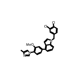 COc1cc(-c2cccc3c2ccn3Cc2ccc(Cl)c(Cl)c2)ccc1-n1cnc(C)c1